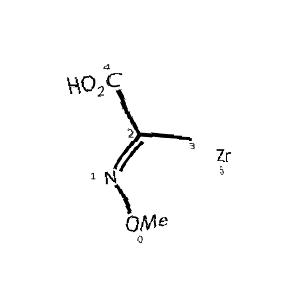 CON=C(C)C(=O)O.[Zr]